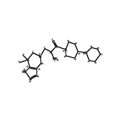 CC1(C)CN(CC(N)C(=O)N2CCC(N3CCCCC3)CC2)Cc2cn[nH]c21